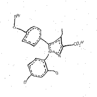 CCCOc1ccc(-c2c(C)c(C(=O)O)nn2-c2ccc(Cl)cc2Cl)cc1